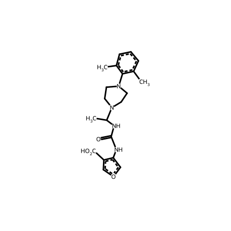 Cc1cccc(C)c1N1CCN(C(C)NC(=O)Nc2cocc2C(=O)O)CC1